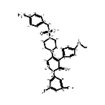 COc1ccc(-c2c(N3CCN(S(=O)(=O)Cc4ccc(N)cc4)CC3)cnn(-c3cc(F)cc(F)c3)c2=O)cc1